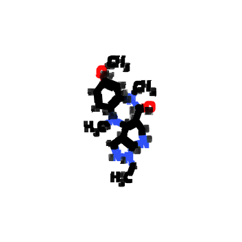 CCn1ncc2c3c(cnc21)C(=O)N(C)c1cc(OC)ccc1N3C